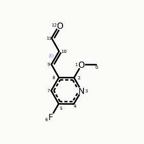 COc1ncc(F)cc1/C=C/C=O